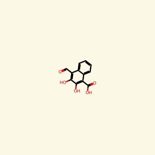 O=Cc1c(O)c(O)c(C(=O)O)c2ccccc12